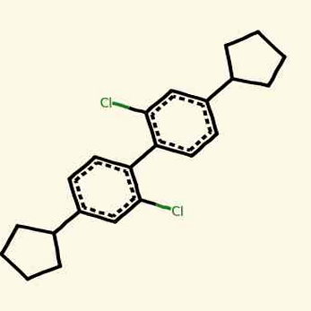 Clc1cc(C2CCCC2)ccc1-c1ccc(C2CCCC2)cc1Cl